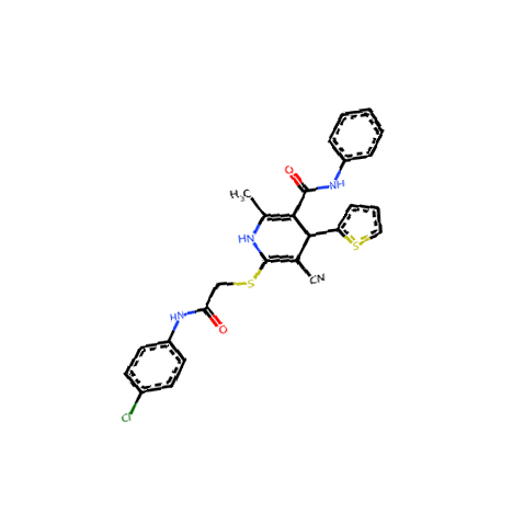 CC1=C(C(=O)Nc2ccccc2)C(c2cccs2)C(C#N)=C(SCC(=O)Nc2ccc(Cl)cc2)N1